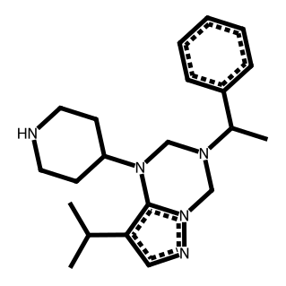 CC(C)c1cnn2c1N(C1CCNCC1)CN(C(C)c1ccccc1)C2